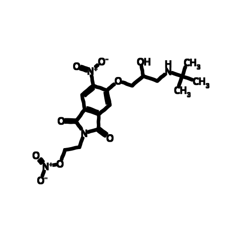 CC(C)(C)NCC(O)COc1cc2c(cc1[N+](=O)[O-])C(=O)N(CCO[N+](=O)[O-])C2=O